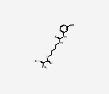 C=C(C)C(=O)OCCCCNC(=O)Nc1cccc(O)c1